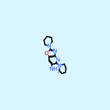 Nc1cc2oc(N3CCCCC3)nc2nc1N1CCCCC1